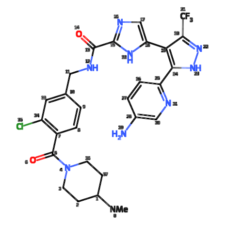 CNC1CCN(C(=O)c2ccc(CNC(=O)c3ncc(-c4c(C(F)(F)F)n[nH]c4-c4ccc(N)cn4)[nH]3)cc2Cl)CC1